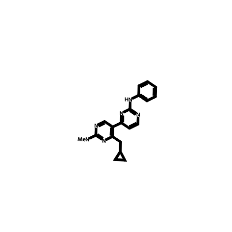 CNc1ncc(-c2ccnc(Nc3ccccc3)n2)c(CC2CC2)n1